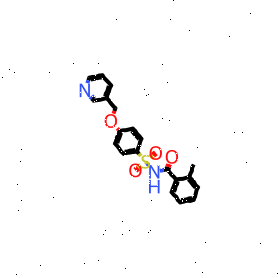 Cc1ccccc1C(=O)NS(=O)(=O)c1ccc(OCc2cccnc2)cc1